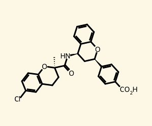 C[C@]1(C(=O)N[C@@H]2C[C@H](c3ccc(C(=O)O)cc3)Oc3ccccc32)CCc2cc(Cl)ccc2O1